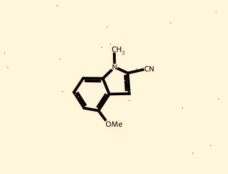 COc1cccc2c1cc(C#N)n2C